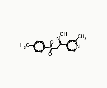 Cc1ccc(S(=O)(=O)CC(=NO)c2ccnc(C)c2)cc1